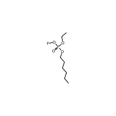 CCCCCCOP(=O)(OF)OCC